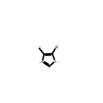 Cc1n[c]sc1Br